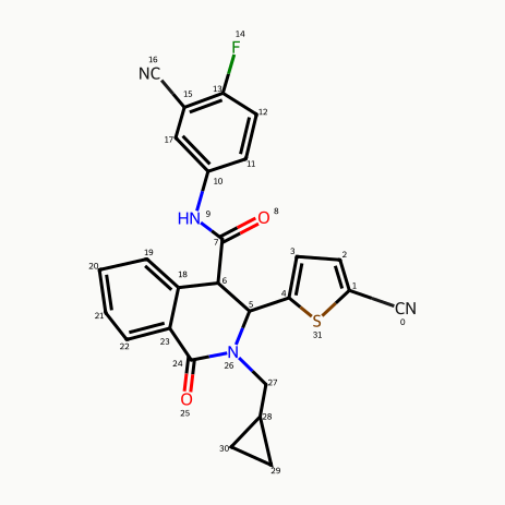 N#Cc1ccc(C2C(C(=O)Nc3ccc(F)c(C#N)c3)c3ccccc3C(=O)N2CC2CC2)s1